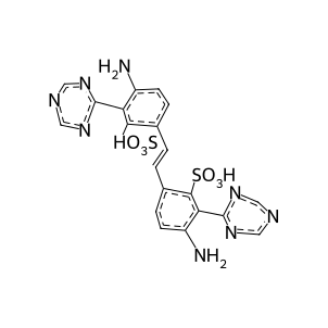 Nc1ccc(/C=C/c2ccc(N)c(-c3ncncn3)c2S(=O)(=O)O)c(S(=O)(=O)O)c1-c1ncncn1